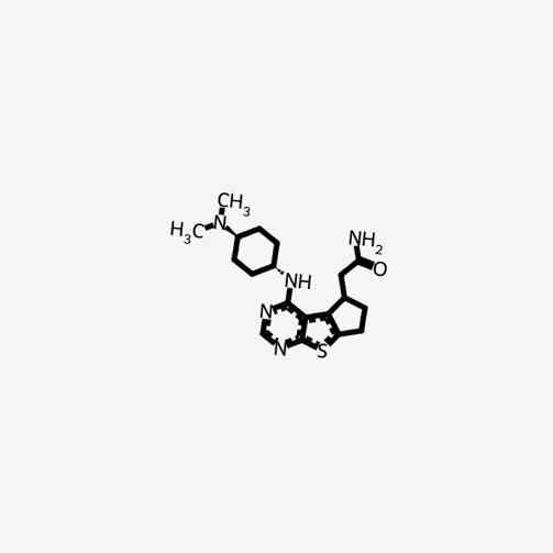 CN(C)[C@H]1CC[C@H](Nc2ncnc3sc4c(c23)C(CC(N)=O)CC4)CC1